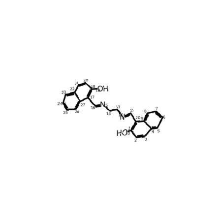 Oc1ccc2ccccc2c1C=NCCN=Cc1c(O)ccc2ccccc12